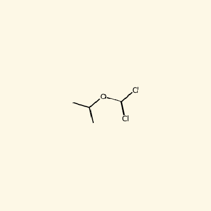 CC(C)OC(Cl)Cl